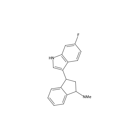 CNC1CC(c2c[nH]c3cc(F)ccc23)c2ccccc21